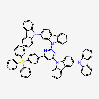 c1ccc(S(c2ccccc2)(c2ccccc2)c2ccc(-c3cc(-n4c5ccccc5c5cc(-n6c7ccccc7c7ccccc76)ccc54)nc(-n4c5ccccc5c5ccc(-n6c7ccccc7c7ccccc76)cc54)n3)cc2)cc1